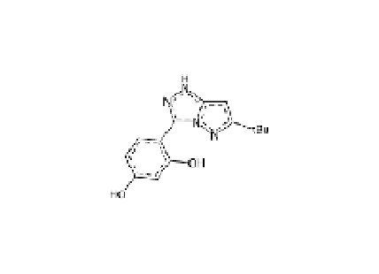 CC(C)(C)c1cc2[nH]nc(-c3ccc(O)cc3O)n2n1